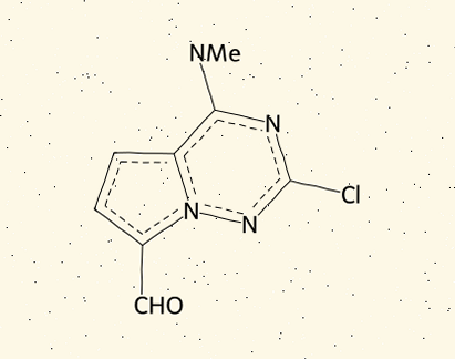 CNc1nc(Cl)nn2c(C=O)ccc12